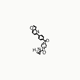 NC1(C(=O)N2CCN(C(=O)c3ccc(-c4ccc5occc5n4)cc3)CC2)CC1